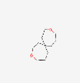 C1COCCC2(C1)CCCOCC2